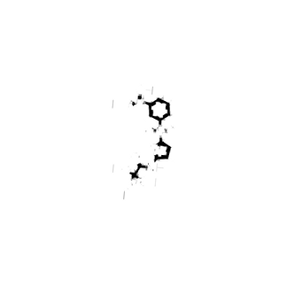 CN(C)c1cccc(S(=O)(=O)c2ccc(NC(=O)C(C)(C)O)s2)c1